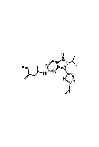 C=CC(=C)CNNc1ncc2c(=O)n(C(C)C)n(-c3csc(C4CC4)n3)c2n1